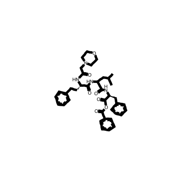 CC(C)CC(NC(=O)[C@H](CCc1ccccc1)NC(=O)CN1CCOCC1)C(=O)N[C@@H](Cc1ccccc1)C(=O)OC(=O)c1ccccc1